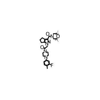 Cc1ccc(N2CCN(C(=O)Cn3nc(C(=O)N4C[C@@H](C)O[C@@H](C)C4)c4c3CCC4)CC2)cc1F